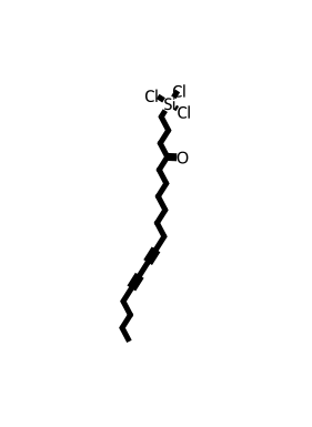 CCCCC#CC#CCCCCCCC(=O)CCC[Si](Cl)(Cl)Cl